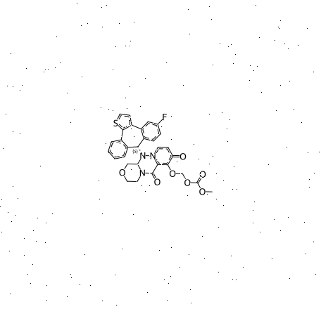 COC(=O)OCOc1c2n(ccc1=O)N([C@H]1c3ccc(F)cc3-c3ccsc3-c3ccccc31)C1COCCN1C2=O